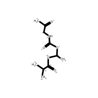 CC(=O)CNC(=O)OC(C)OC(=O)C(C)C